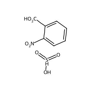 O=C(O)c1ccccc1[N+](=O)[O-].O=[SH](=O)O